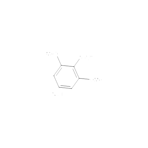 COc1cccc(OC)c1C(=O)O.[NaH]